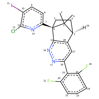 CC1(C)[C@H]2CC[C@@]1(c1ccc(I)c(Cl)n1)c1nnc(-c3c(F)cccc3F)cc12